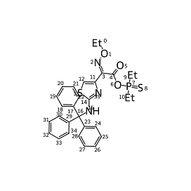 CCO/N=C(\C(=O)OP(=S)(CC)CC)c1csc(NC(c2ccccc2)(c2ccccc2)c2ccccc2)n1